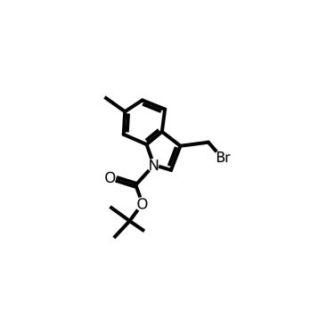 Cc1ccc2c(CBr)cn(C(=O)OC(C)(C)C)c2c1